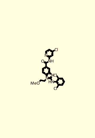 COCCn1c(Nc2c(Cl)cccc2Cl)nc2cc(C(=O)Nc3cc(Cl)ccn3)ccc21